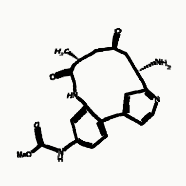 COC(=O)Nc1ccc2c(c1)NC(=O)[C@H](C)CC(=O)C[C@H](N)c1cc-2ccn1